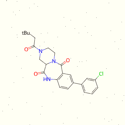 CC(C)(C)CC(=O)N1CCN2C(=O)c3cc(-c4cccc(Cl)c4)ccc3NC(=O)C2C1